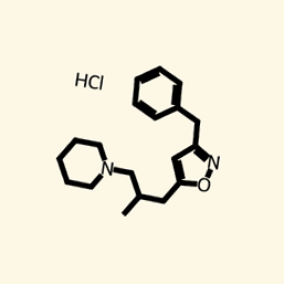 CC(Cc1cc(Cc2ccccc2)no1)CN1CCCCC1.Cl